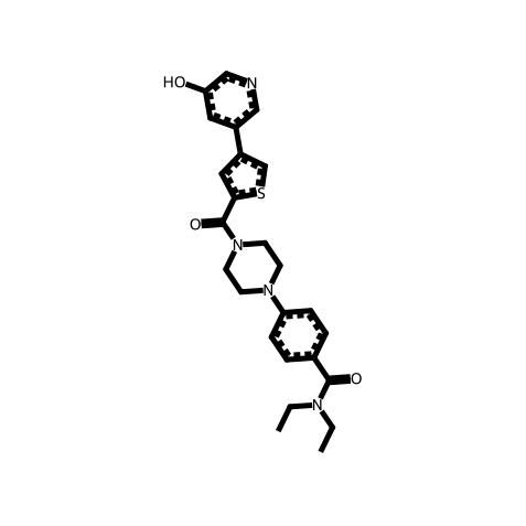 CCN(CC)C(=O)c1ccc(N2CCN(C(=O)c3cc(-c4cncc(O)c4)cs3)CC2)cc1